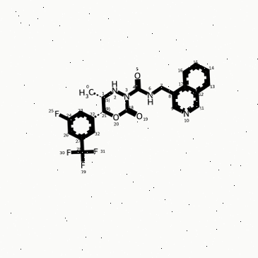 C[C@@H]1NN(C(=O)NCc2cncc3ccccc23)C(=O)O[C@@H]1c1cc(F)cc(C(F)(F)F)c1